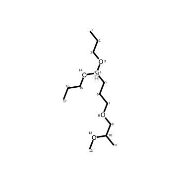 CCCO[SiH](CCCOCC(C)OC)OCCC